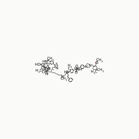 Cc1cc(S(=O)(=O)NC(=O)c2ccc(N3CCN(CC4=C(C56CC(C)(C5)C6)CC(C)(C)CC4)CC3)cc2)ccc1N[C@H](CCN(C)CCCCCCCCC(=O)N[C@H](C(=O)N1C[C@H](O)C[C@H]1C(=O)N[C@@H](C)c1ccc(-c2scnc2C)cc1)C(C)(C)C)CSc1ccccc1